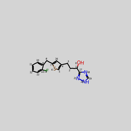 OC(CCc1csc(Cc2ccccc2F)c1)c1nc[nH]n1